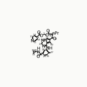 CCCN(C(=O)OCOC(=O)c1ccncc1)C(=O)c1cn2ncnc(Nc3cc(C(=O)NC4CC4)ccc3C)c2c1C